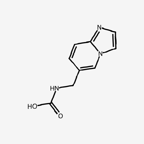 O=C(O)NCc1ccc2nccn2c1